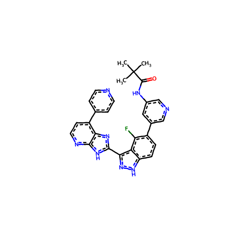 CC(C)(C)C(=O)Nc1cncc(-c2ccc3[nH]nc(-c4nc5c(-c6ccncc6)ccnc5[nH]4)c3c2F)c1